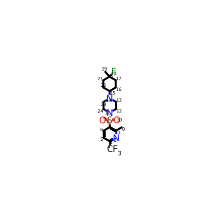 Cc1nc(C(F)(F)F)ccc1S(=O)(=O)N1CCN(C2CCC(C)(F)CC2)CC1